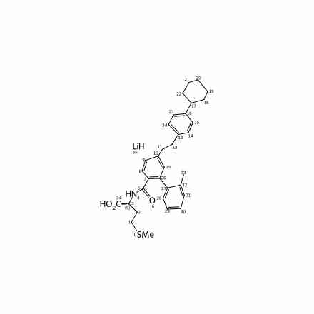 CSCC[C@H](NC(=O)c1ccc(CCc2ccc(C3CCCCC3)cc2)cc1-c1ccccc1C)C(=O)O.[LiH]